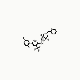 Cc1ccc(F)cc1-c1cc(C(F)(F)F)c(N[C@H]2C[C@@H]3CN(Cc4ccccn4)C[C@@H]3C2)nn1